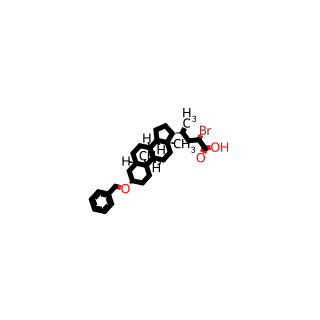 CC(CC(Br)C(=O)O)[C@H]1CC[C@H]2[C@@H]3CC[C@@H]4C[C@H](OCc5ccccc5)CC[C@]4(C)[C@H]3CC[C@]12C